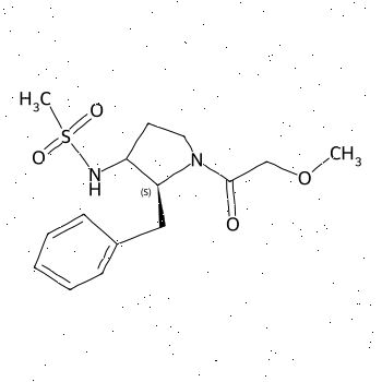 COCC(=O)N1CCC(NS(C)(=O)=O)[C@@H]1Cc1ccccc1